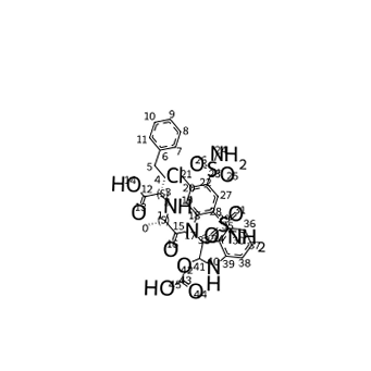 C[C@H](N[C@@H](CCc1ccccc1)C(=O)O)C(=O)N(c1cc(Cl)c(S(N)(=O)=O)cc1S(N)(=O)=O)C1c2ccccc2NC1OC(=O)O